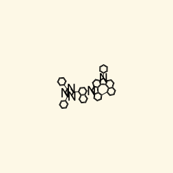 c1ccc(-c2nc(-c3ccccc3)nc(-c3ccc(-n4c5cccc6c5c5c7c8c9c-6cccc9ccc8n(-c6ccccc6)c7ccc54)c4ccccc34)n2)cc1